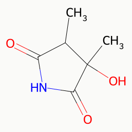 CC1C(=O)NC(=O)C1(C)O